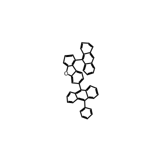 c1ccc(-c2c3ccccc3c(-c3ccc4c(c3)oc3cccc(-c5c6ccccc6cc6ccccc56)c34)c3ccccc23)cc1